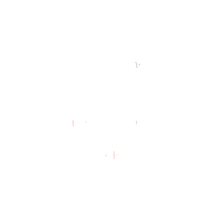 Cl.O=Cc1ccc(O)c(O)c1